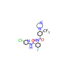 CN1CCCN(c2ccc(C(=O)Nc3ccc(F)cc3C(=O)Nc3ccc(Cl)cn3)cc2C(F)(F)F)CC1